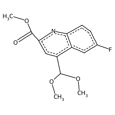 COC(=O)c1cc(C(OC)OC)c2cc(F)ccc2n1